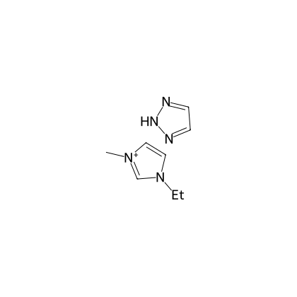 CCn1cc[n+](C)c1.c1cn[nH]n1